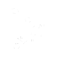 CCC(C(=N)C(=O)Cc1ccc(COc2ccccc2)cc1)c1coc(CC(NS(=O)(=O)c2ccccc2)C(=O)O)c1